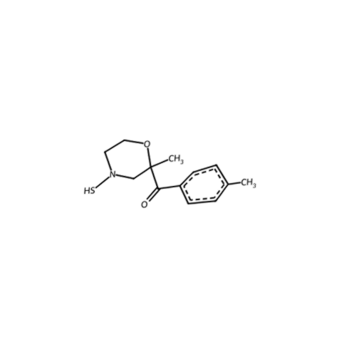 Cc1ccc(C(=O)C2(C)CN(S)CCO2)cc1